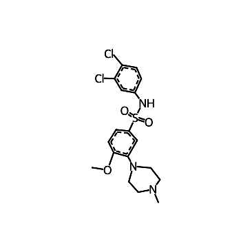 COc1ccc(S(=O)(=O)Nc2ccc(Cl)c(Cl)c2)cc1N1CCN(C)CC1